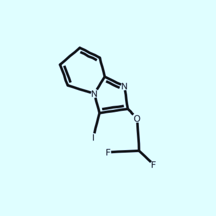 FC(F)Oc1nc2ccccn2c1I